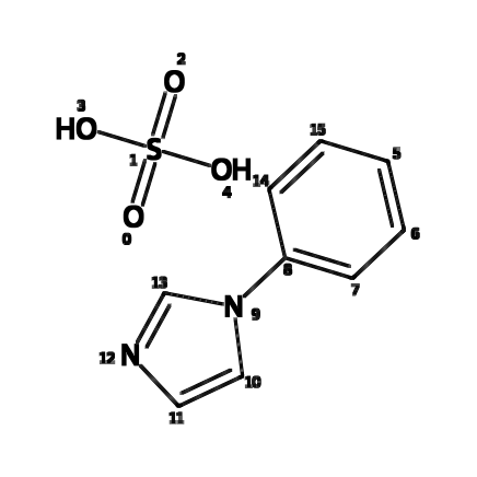 O=S(=O)(O)O.c1ccc(-n2ccnc2)cc1